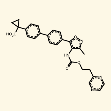 Cc1noc(-c2ccc(-c3ccc(C4(C(=O)O)CC4)cc3)cc2)c1NC(=O)OCCc1cnccn1